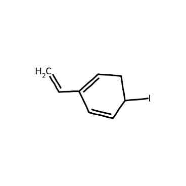 C=CC1=CCC(I)C=C1